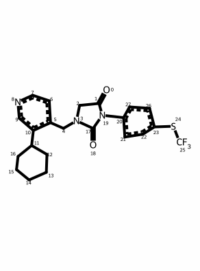 O=C1CN(Cc2ccncc2C2CCCCC2)C(=O)N1c1ccc(SC(F)(F)F)cc1